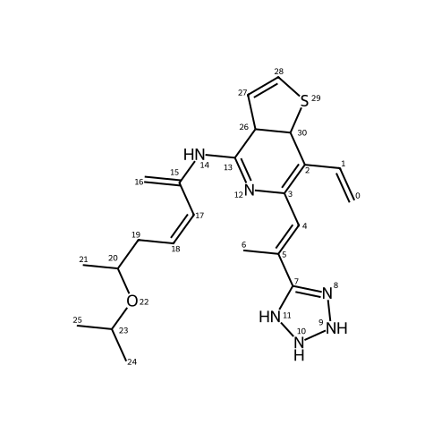 C=CC1=C(/C=C(\C)C2=NNNN2)N=C(NC(=C)/C=C\CC(C)OC(C)C)C2C=CSC12